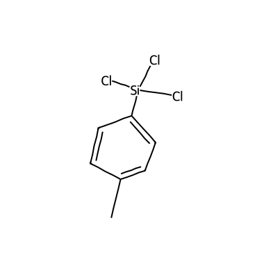 Cc1ccc([Si](Cl)(Cl)Cl)cc1